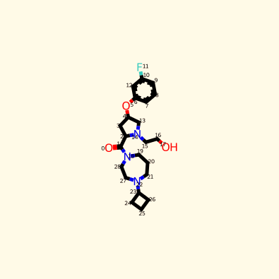 O=C(C1CC(Oc2cccc(F)c2)CN1CCO)N1CCCN(C2CCC2)CC1